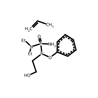 C=CC.CCN(CC)P(N)(=O)N(CCO)Oc1ccccc1